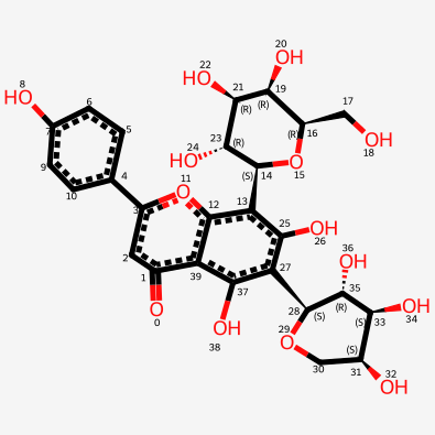 O=c1cc(-c2ccc(O)cc2)oc2c([C@@H]3O[C@H](CO)[C@H](O)[C@H](O)[C@H]3O)c(O)c([C@@H]3OC[C@H](O)[C@H](O)[C@H]3O)c(O)c12